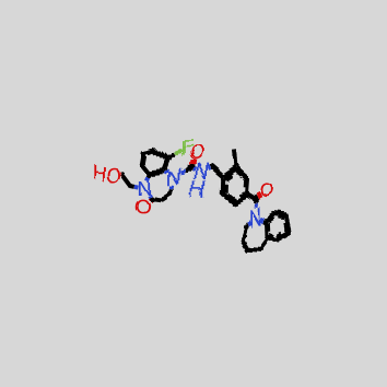 Cc1cc(C(=O)N2CCCCc3ccccc32)ccc1CNC(=O)N1CCC(=O)N(CCO)C2=C1C(F)CC=C2